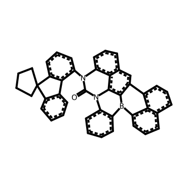 O=C1N(c2cccc3c2-c2ccccc2C32CCCC2)c2cccc3cc4c5c(c23)N1c1ccccc1B5c1cccc2cccc-4c12